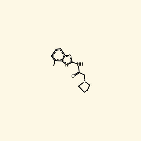 Cc1cccc2sc(NC(=O)CN3CCCC3)nc12